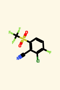 N#Cc1c(S(=O)(=O)C(F)(F)F)ccc(F)c1Cl